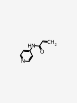 C=CC(=O)Nc1ccncc1